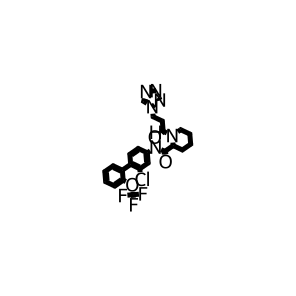 O=C(Nc1ccc(-c2ccccc2OC(F)(F)F)c(Cl)c1)C1CCCCN1C(=O)CCn1cnnn1